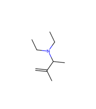 C=C(C)C(C)N(CC)CC